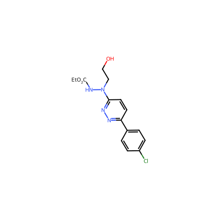 CCOC(=O)NN(CCO)c1ccc(-c2ccc(Cl)cc2)nn1